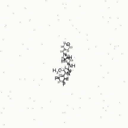 Cc1cc(N[C@@H]2C[C@@H]3CN(CC4CCOCC4)C[C@@H]3C2)nnc1-c1cc(F)cc(F)c1F